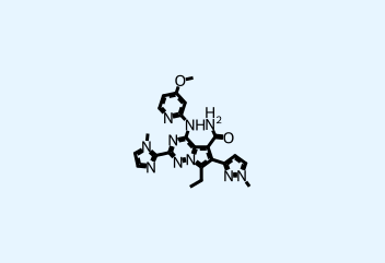 CCc1c(-c2ccn(C)n2)c(C(N)=O)c2c(Nc3cc(OC)ccn3)nc(-c3nccn3C)nn12